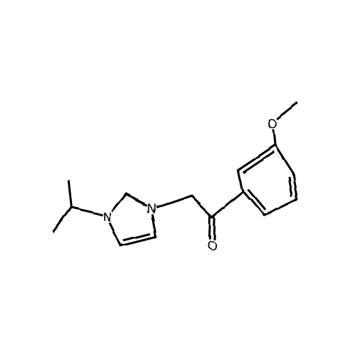 COc1cccc(C(=O)CN2C=CN(C(C)C)C2)c1